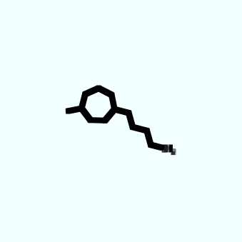 BCCCCC1CCCC(C)CC1